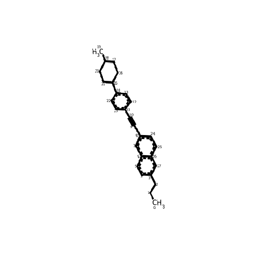 CCCc1ccc2cc(C#Cc3ccc(C4CCC(C)CC4)cc3)ccc2c1